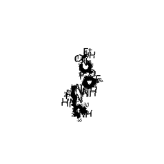 CCNC(=O)N1CCCC(Oc2c(F)cc(Nc3ncc(F)c(NC4CC(C)(C)NC(C)(C)C4)n3)cc2F)CC1